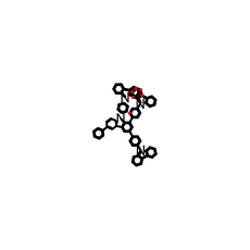 C1=CC2C(C=C1c1ccccc1)c1cc(-c3ccc(-n4c5ccccc5c5ccccc54)cc3)cc(-c3ccc(-n4c5ccccc5c5ccccc54)cc3)c1N2c1ccc(-n2c3ccccc3c3ccccc32)cc1